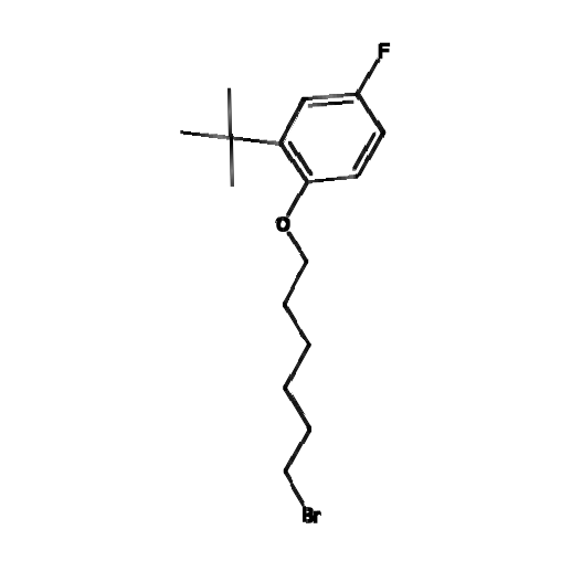 CC(C)(C)c1cc(F)ccc1OCCCCCCBr